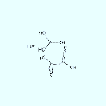 F.O=C(O)C(=O)O.OB(O)O